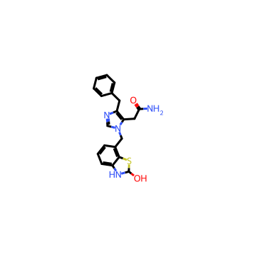 NC(=O)Cc1c(Cc2ccccc2)ncn1Cc1cccc2c1SC(O)N2